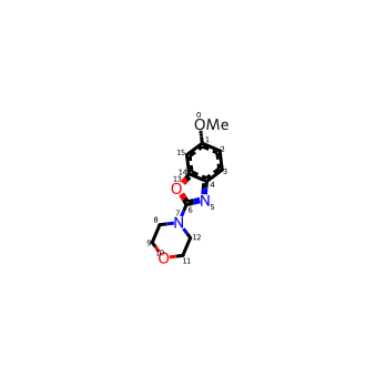 COc1ccc2nc(N3CCOCC3)oc2c1